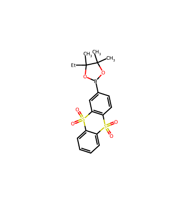 CCC1(C)OB(c2ccc3c(c2)S(=O)(=O)c2ccccc2S3(=O)=O)OC1(C)C